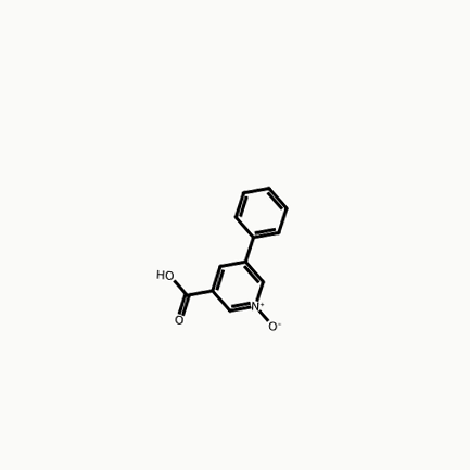 O=C(O)c1cc(-c2ccccc2)c[n+]([O-])c1